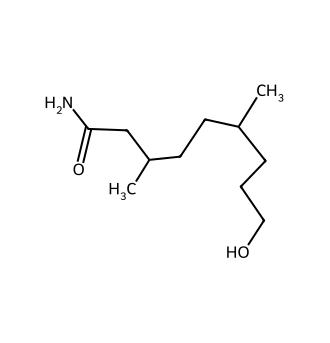 CC(CCCO)CCC(C)CC(N)=O